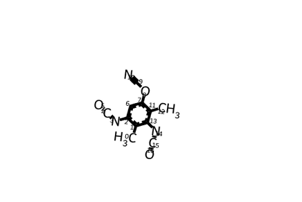 Cc1c(N=C=O)cc(OC#N)c(C)c1N=C=O